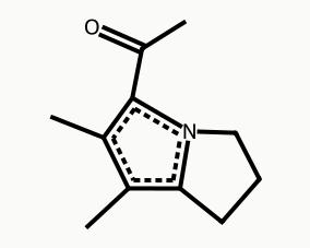 CC(=O)c1c(C)c(C)c2n1CCC2